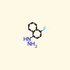 NNc1ccc(F)c2ccccc12